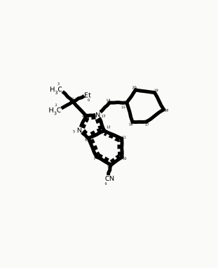 CCC(C)(C)c1nc2cc(C#N)ccc2n1CC1CCCCC1